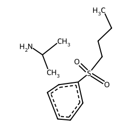 CC(C)N.CCCCS(=O)(=O)c1ccccc1